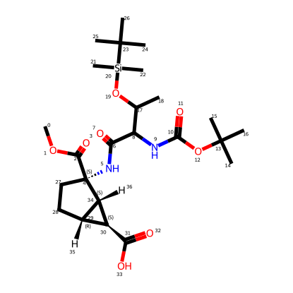 COC(=O)[C@]1(NC(=O)C(NC(=O)OC(C)(C)C)C(C)O[Si](C)(C)C(C)(C)C)CC[C@H]2[C@H](C(=O)O)[C@H]21